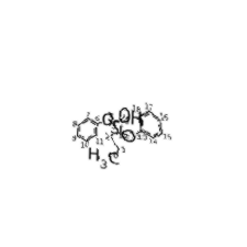 CCC[Si](O)(Oc1ccccc1)Oc1ccccc1